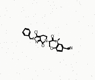 CN1C(=O)[C@@H](N2CCc3c(nn(Cc4ccccc4)c3Cl)C2=O)COc2ccc(C#N)cc21